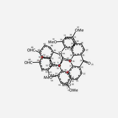 COc1ccc(OP(Oc2ccc(OC)cc2OC)Oc2cc(OC)ccc2C(=O)c2ccc(OC)cc2OP(Oc2ccc(C=O)cc2OC)Oc2ccc(C=O)cc2OC)c(OC)c1